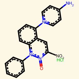 Cl.Nc1cc[n+](-c2cccc3c2cc([N+](=O)[O-])[n+](=O)n3-c2ccccc2)cc1